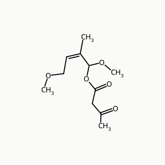 COCC=C(C)C(OC)OC(=O)CC(C)=O